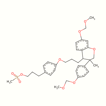 COCOc1ccc(C2(C)COc3cc(OCOC)ccc3C2CCCOc2ccc(CCCOS(C)(=O)=O)cc2)cc1